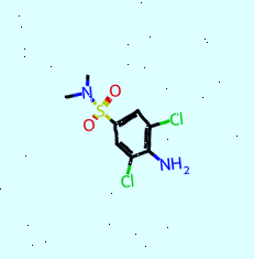 CN(C)S(=O)(=O)c1cc(Cl)c(N)c(Cl)c1